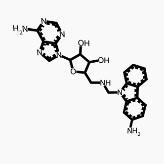 Nc1ccc2c3ccccc3n(CNCC3OC(n4cnc5c(N)ncnc54)C(O)C3O)c2c1